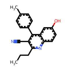 CCCc1nc2ccc(O)cc2c(-c2ccc(C)cc2)c1C#N